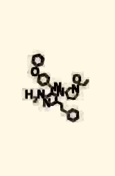 C=CC(=O)N1CCC[C@@H](n2nc(-c3ccc(Oc4ccccc4)cc3)c3c(N)ncc(/C=C/c4ccccc4)c32)C1